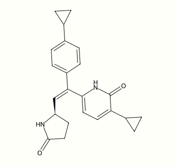 O=C1CC[C@H](C=C(c2ccc(C3CC3)cc2)c2ccc(C3CC3)c(=O)[nH]2)N1